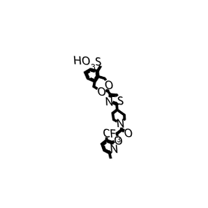 Cc1ccc(C(F)(F)F)c(OCC(=O)N2CCC(c3nc(C4OCc5cccc(CS(=O)(=O)O)c5CO4)cs3)CC2)n1